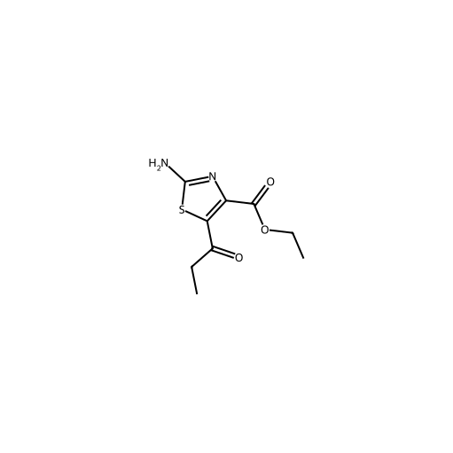 CCOC(=O)c1nc(N)sc1C(=O)CC